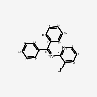 Fc1cccnc1N=C(c1ccccc1)c1ccccc1